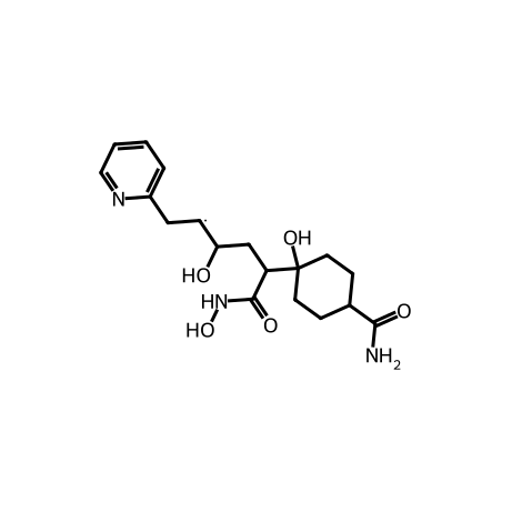 NC(=O)C1CCC(O)(C(CC(O)[CH]Cc2ccccn2)C(=O)NO)CC1